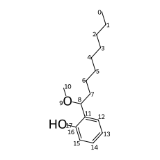 CCCCCCCCC(OC)c1ccccc1O